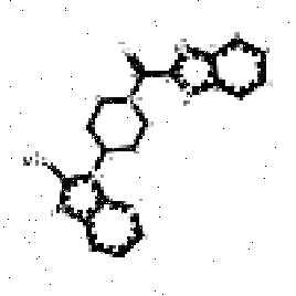 COc1nc2cccnc2n1C1CCN(C(=O)c2nc3ccccc3[nH]2)CC1